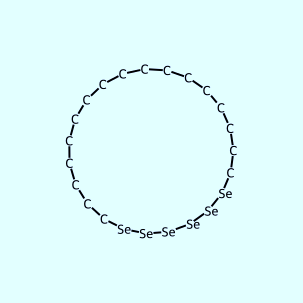 C1CCCCCCCC[Se][Se][Se][Se][Se][Se]CCCCCCCC1